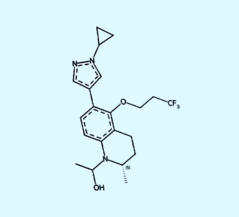 CC(O)N1c2ccc(-c3cnn(C4CC4)c3)c(OCCC(F)(F)F)c2CC[C@@H]1C